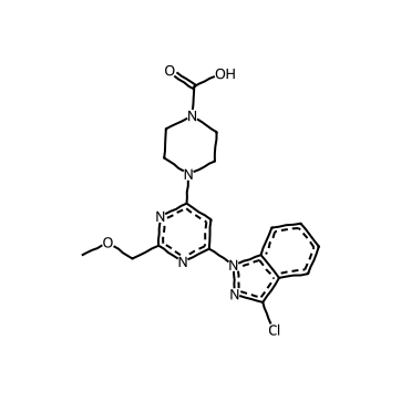 COCc1nc(N2CCN(C(=O)O)CC2)cc(-n2nc(Cl)c3ccccc32)n1